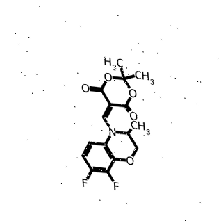 CC1COc2c(ccc(F)c2F)N1C=C1C(=O)OC(C)(C)OC1=O